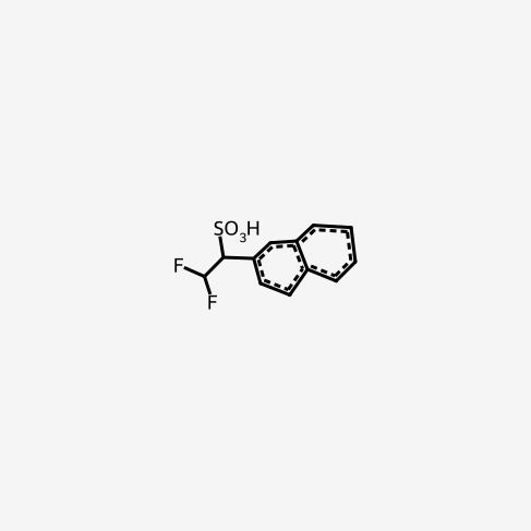 O=S(=O)(O)C(c1ccc2ccccc2c1)C(F)F